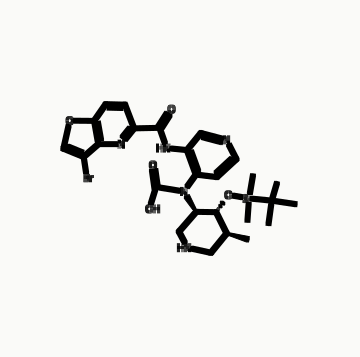 C[C@H]1CNC[C@@H](N(C(=O)O)c2ccncc2NC(=O)c2ccc3occ(Br)c3n2)[C@@H]1O[Si](C)(C)C(C)(C)C